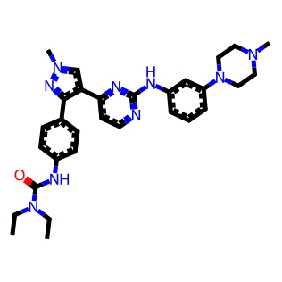 CCN(CC)C(=O)Nc1ccc(-c2nn(C)cc2-c2ccnc(Nc3cccc(N4CCN(C)CC4)c3)n2)cc1